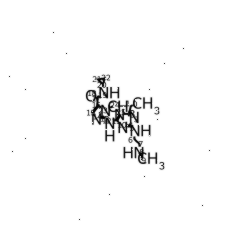 CCc1nc(NCCNC)nc(Nc2ncc(C(=O)NC3CC3)n2C)n1